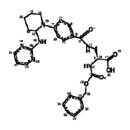 O=C(N[C@@H](CNC(=O)c1ccc(N2CCCCC2Nc2ncccn2)cc1)C(=O)O)OCc1ccccc1